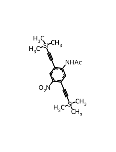 CC(=O)Nc1cc(C#C[Si](C)(C)C)c([N+](=O)[O-])cc1C#C[Si](C)(C)C